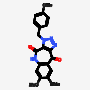 COc1ccc(Cn2nnc3c(=O)c4cc(OC)c(OC)cc4[nH]c(=O)c32)cc1